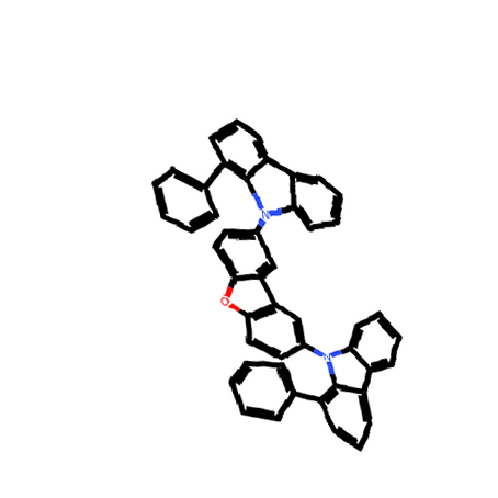 c1ccc(-c2cccc3c4ccccc4n(-c4ccc5oc6ccc(-n7c8ccccc8c8cccc(-c9ccccc9)c87)cc6c5c4)c23)cc1